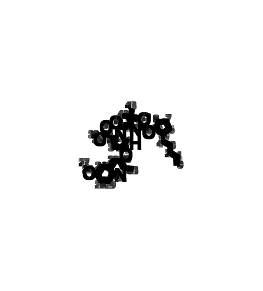 C=CCCC[C@@H]1CCC[C@H]1OC(=O)N[C@H](C(=O)N1C[C@H](Oc2cc3cc(OC)ccc3nc2C)C[C@H]1C(=O)OC)C(C)(C)C